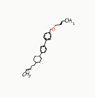 CC=CCOCc1ccc(-c2ccc(C3CCC(CC/C=C/C)CC3)cc2)cc1